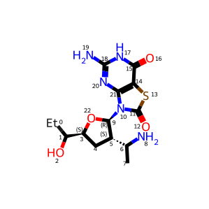 CCC(O)[C@@H]1C[C@@H](C(C)N)[C@H](n2c(=O)sc3c(=O)[nH]c(N)nc32)O1